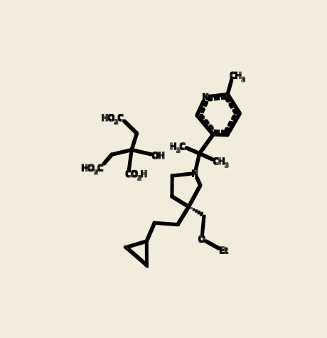 CCOC[C@]1(CCC2CC2)CCN(C(C)(C)c2ccc(C)nc2)C1.O=C(O)CC(O)(CC(=O)O)C(=O)O